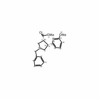 COC(=O)[C@H]1CN(Cc2ccccc2)C[C@H]1c1cccc(OC)n1